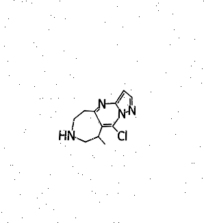 CC1CNCCc2nc3ccnn3c(Cl)c21